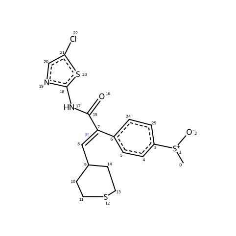 C[S+]([O-])c1ccc(/C(=C\C2CCSCC2)C(=O)Nc2ncc(Cl)s2)cc1